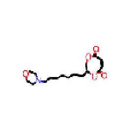 O=C1C=CC(=O)OC(CCCCCCCN2CCOCC2)CO1